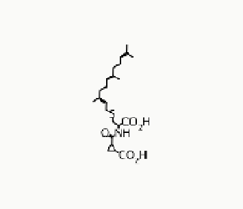 CC(C)=CCC/C(C)=C/CC/C(C)=C/CSCC(NC(=O)C1CC1C(=O)O)C(=O)O